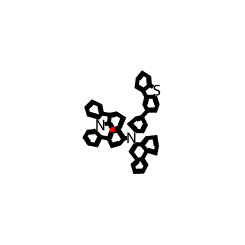 c1ccc(-n2c3ccccc3c3ccccc32)c(-c2ccc(N(c3ccc(-c4ccc5sc6ccccc6c5c4)cc3)c3cc4ccccc4c4ccccc34)cc2)c1